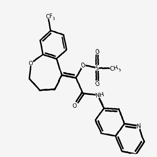 CS(=O)(=O)O/C(C(=O)Nc1ccc2cccnc2c1)=C1/CCCOc2cc(C(F)(F)F)ccc21